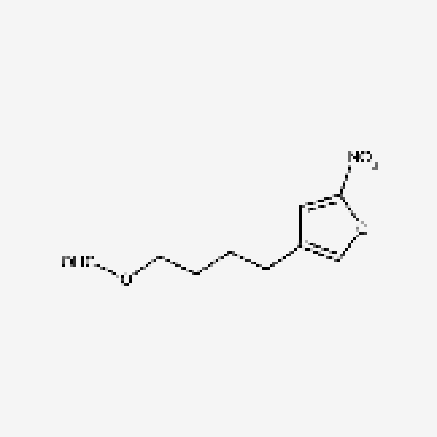 O=[C]OCCCCc1coc([N+](=O)[O-])c1